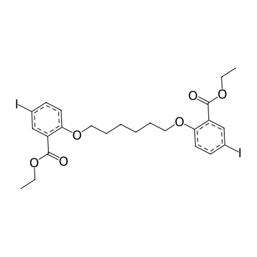 CCOC(=O)c1cc(I)ccc1OCCCCCCOc1ccc(I)cc1C(=O)OCC